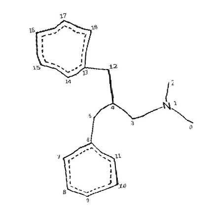 CN(C)CC(Cc1ccccc1)Cc1ccccc1